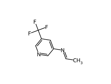 C/C=N/c1cncc(C(F)(F)F)c1